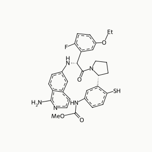 CCOc1ccc(F)c([C@@H](Nc2ccc3c(N)nccc3c2)C(=O)N2CCC[C@@H]2c2cc(NC(=O)OC)ccc2S)c1